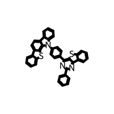 c1ccc(-c2nc(-c3ccc(-n4c5ccccc5c5ccc6c7ccccc7sc6c54)cc3)c3sc4ccccc4c3n2)cc1